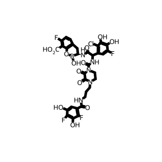 O=C(NCCCN1CCN(C(=O)NC(C(=O)N[C@H]2Cc3ccc(F)c(C(=O)O)c3OB2O)c2cc(F)c(O)c(O)c2Cl)C(=O)C1=O)c1cc(O)c(F)c(O)c1F